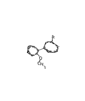 COc1ccccc1-c1cc[c]c(Br)c1